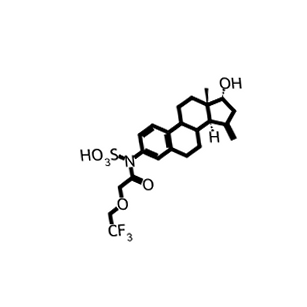 C=C1C[C@@H](O)[C@@]2(C)CCC3c4ccc(N(C(=O)COCC(F)(F)F)S(=O)(=O)O)cc4CCC3[C@H]12